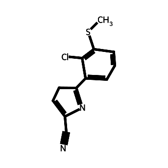 CSc1cccc(C2=NC(C#N)=CC2)c1Cl